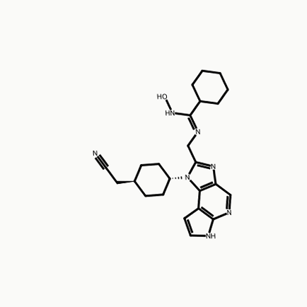 N#CC[C@H]1CC[C@H](n2c(CN=C(NO)C3CCCCC3)nc3cnc4[nH]ccc4c32)CC1